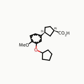 COc1ccc([C@H]2CC[C@@H](C(=O)O)C2)cc1OC1CCCC1